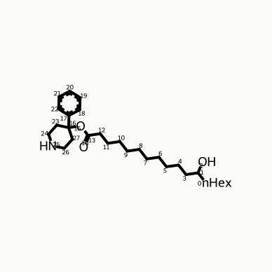 CCCCCCC(O)CCCCCCCCCCC(=O)OC1(c2ccccc2)CCNCC1